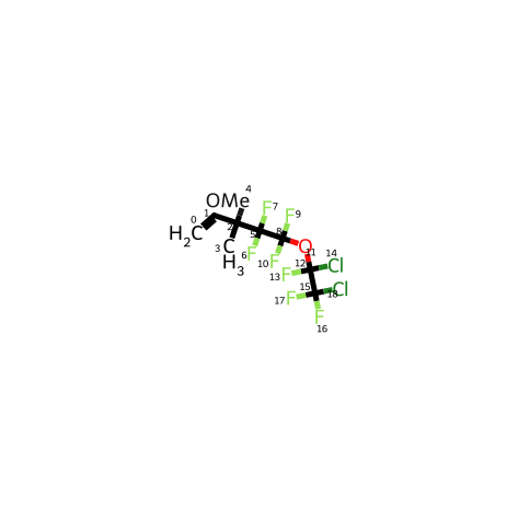 C=CC(C)(OC)C(F)(F)C(F)(F)OC(F)(Cl)C(F)(F)Cl